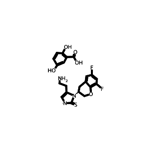 NCCC1=C[N]C(=S)N1[C@H]1COc2c(F)cc(F)cc2C1.O=C(O)c1cc(O)ccc1O